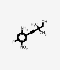 CC(C)(C#Cc1cc([N+](=O)[O-])c(F)cc1N)CO